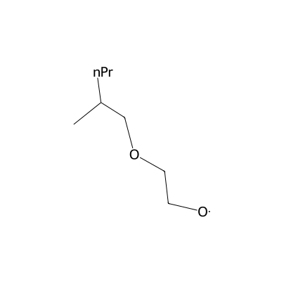 CCCC(C)COCC[O]